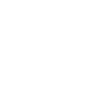 Fc1ccc(-c2ccccc2)c(Br)c1